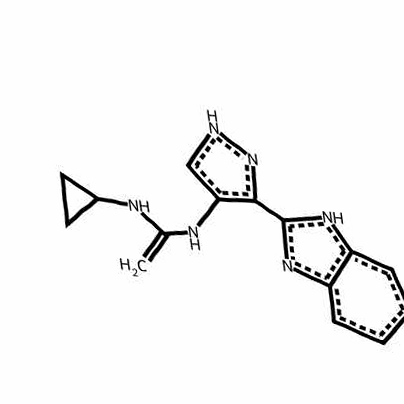 C=C(Nc1c[nH]nc1-c1nc2ccccc2[nH]1)NC1CC1